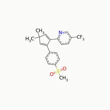 CC1(C)C=C(c2ccc(S(C)(=O)=O)cc2)C(c2ccc(C(F)(F)F)cn2)=C1